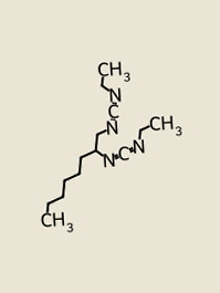 CCCCCCC(CN=C=NCC)N=C=NCC